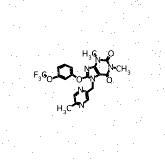 Cc1cnc(Cn2c(Oc3cccc(OC(F)(F)F)c3)nc3c2c(=O)n(C)c(=O)n3C)cn1